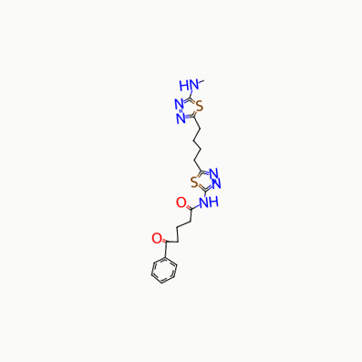 CNc1nnc(CCCCc2nnc(NC(=O)CCCC(=O)c3ccccc3)s2)s1